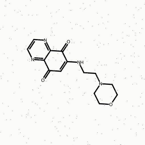 O=C1C=C(NCCN2CCOCC2)C(=O)c2nccnc21